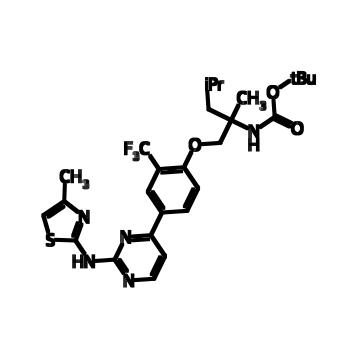 Cc1csc(Nc2nccc(-c3ccc(OCC(C)(CC(C)C)NC(=O)OC(C)(C)C)c(C(F)(F)F)c3)n2)n1